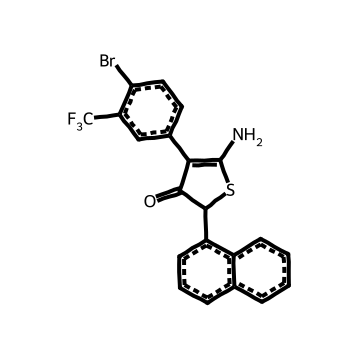 NC1=C(c2ccc(Br)c(C(F)(F)F)c2)C(=O)C(c2cccc3ccccc23)S1